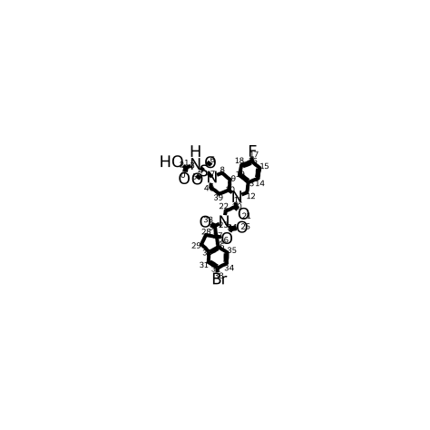 O=C(O)NS(=O)(=O)N1CCC(N(Cc2ccc(F)cc2)C(=O)CN2C(=O)OC3(CCc4cc(Br)ccc43)C2=O)CC1